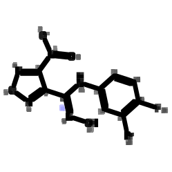 O=[N+]([O-])c1nonc1/C(=N/O)Nc1ccc(F)c(Br)c1